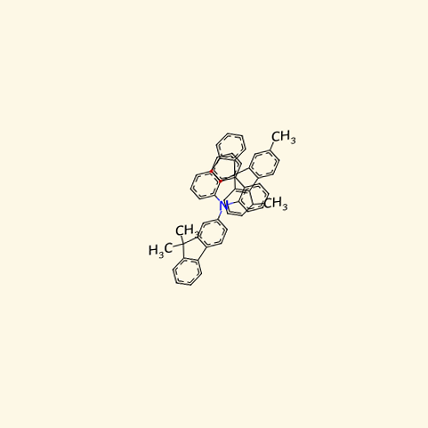 Cc1ccc2c(c1)C1(C3=C2C(C)C=C=C3)c2ccccc2-c2cccc(N(c3ccc4c(c3)C(C)(C)c3ccccc3-4)c3ccccc3-c3ccccc3)c21